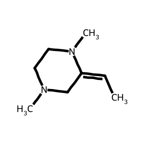 C/C=C1\CN(C)CCN1C